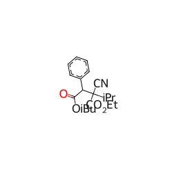 CCOC(=O)C(C#N)(C(C)C)C(C(=O)OCC(C)C)c1ccccc1